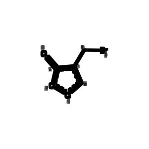 O=c1oocc1CBr